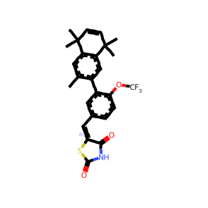 Cc1cc2c(cc1-c1cc(/C=C3/SC(=O)NC3=O)ccc1OC(F)(F)F)C(C)(C)C=CC2(C)C